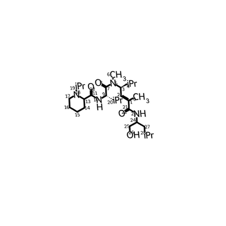 C/C(=C\[C@H](C(C)C)N(C)C(=O)[C@@H](NC(=O)C1CCCCN1C(C)C)C(C)C)C(=O)NC(CO)CC(C)C